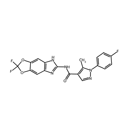 Cc1c(C(=O)Nc2nc3cc4c(cc3[nH]2)OC(F)(F)O4)cnn1-c1ccc(F)cc1